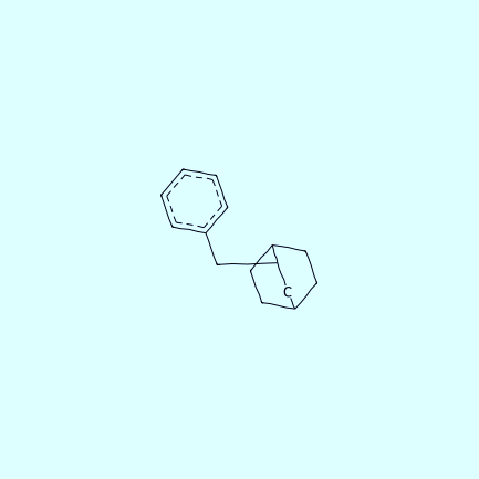 c1ccc(CC2CC3CCC2CC3)cc1